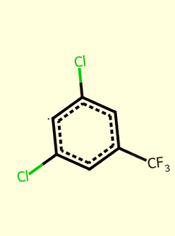 FC(F)(F)c1cc(Cl)[c]c(Cl)c1